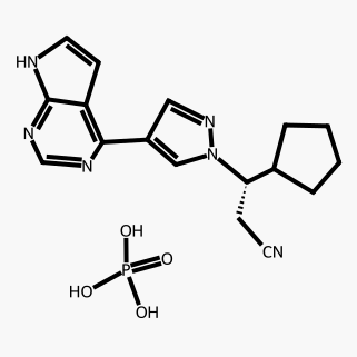 N#CC[C@@H](C1CCCC1)n1cc(-c2ncnc3[nH]ccc23)cn1.O=P(O)(O)O